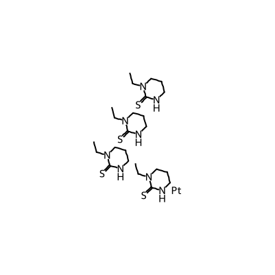 CCN1CCCNC1=S.CCN1CCCNC1=S.CCN1CCCNC1=S.CCN1CCCNC1=S.[Pt]